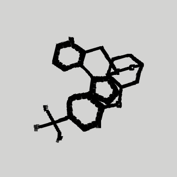 FC(F)(F)c1ccc(OC2CC3CCC2N(Cc2ncccc2-c2nccs2)C3)nc1